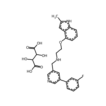 Cc1cc2c(OCCNCc3cncc(-c4cccc(F)c4)c3)cccc2[nH]1.O=C(O)C(O)C(O)C(=O)O